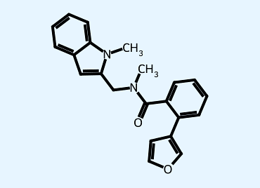 CN(Cc1cc2ccccc2n1C)C(=O)c1ccccc1-c1ccoc1